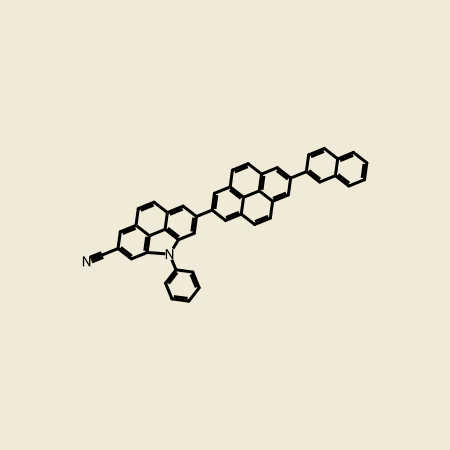 N#Cc1cc2ccc3cc(-c4cc5ccc6cc(-c7ccc8ccccc8c7)cc7ccc(c4)c5c67)cc4c3c2c(c1)n4-c1ccccc1